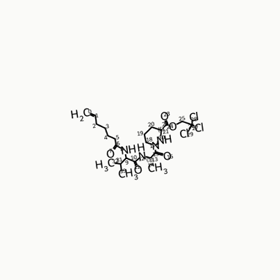 C=CCCCCC(=O)NC(C(=O)N[C@@H](C)C(=O)N1CCC[C@@H](C(=O)OCC(Cl)(Cl)Cl)N1)C(C)C